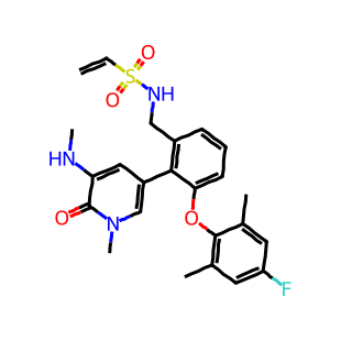 C=CS(=O)(=O)NCc1cccc(Oc2c(C)cc(F)cc2C)c1-c1cc(NC)c(=O)n(C)c1